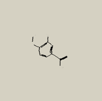 COC(=O)c1ccc(OC(C)(C)C)c([N+](=O)[O-])c1